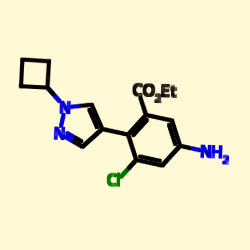 CCOC(=O)c1cc(N)cc(Cl)c1-c1cnn(C2CCC2)c1